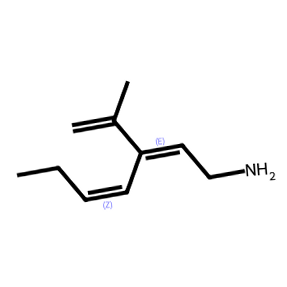 C=C(C)C(/C=C\CC)=C/CN